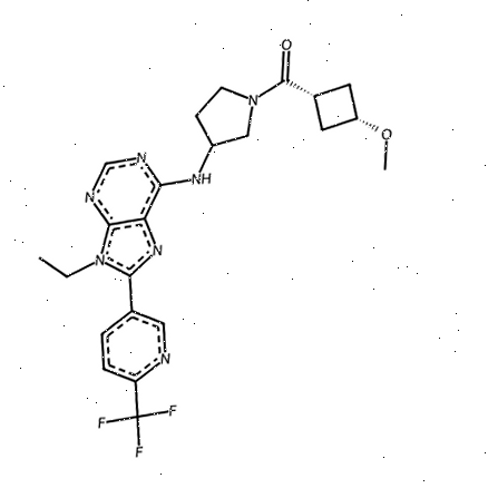 CCn1c(-c2ccc(C(F)(F)F)nc2)nc2c(NC3CCN(C(=O)[C@H]4C[C@@H](OC)C4)C3)ncnc21